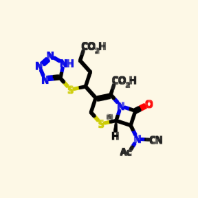 CC(=O)N(C#N)C1C(=O)N2C(C(=O)O)=C(C(CCC(=O)O)Sc3nnn[nH]3)CS[C@@H]12